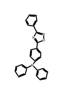 c1ccc(-c2noc(-c3ccc(N(c4ccccc4)c4ccccc4)cc3)n2)cc1